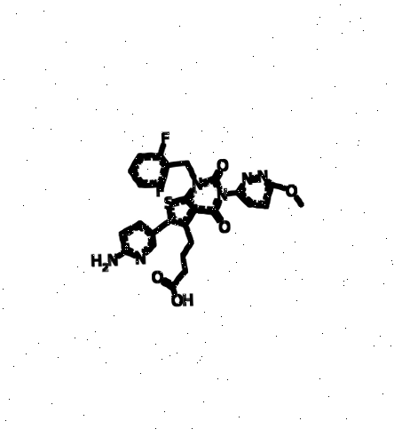 COc1ccc(-n2c(=O)c3c(CCCC(=O)O)c(-c4ccc(N)nc4)sc3n(Cc3c(F)cccc3F)c2=O)nn1